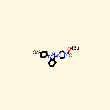 CC(C)(C)OC(=O)N1CCN(c2nn(-c3ccc(N=O)cc3)c3ccccc23)CC1